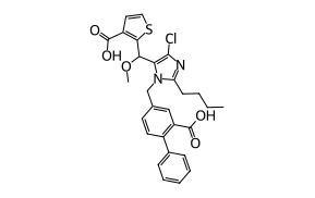 CCCCc1nc(Cl)c(C(OC)c2sccc2C(=O)O)n1Cc1ccc(-c2ccccc2)c(C(=O)O)c1